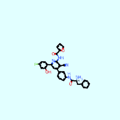 N#Cc1c(-c2cccc(NC(=O)[C@H](N)Cc3ccccc3)c2)cc(-c2ccc(F)cc2O)nc1NC(=O)c1ccco1